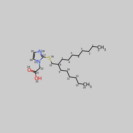 CCCCCCCCC(CCCCCC)CSc1nccn1CC(=O)O